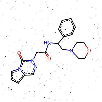 O=C(Cn1ncc2cccn2c1=O)NC(CN1CCOCC1)c1ccccc1